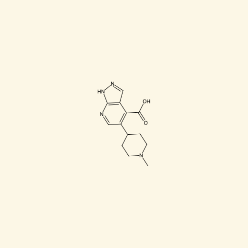 CN1CCC(c2cnc3[nH]ncc3c2C(=O)O)CC1